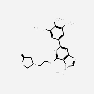 COc1cc(-c2cc3ncn(C)c3c(OCC[C@H]3CNC(=O)C3)n2)cc(OC)c1OC